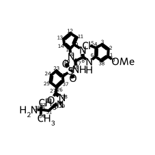 COc1ccc(Cl)c(Nc2nc3ccccc3nc2NS(=O)(=O)c2cccc(-c3nnc(CC(C)(C)N)o3)c2)c1